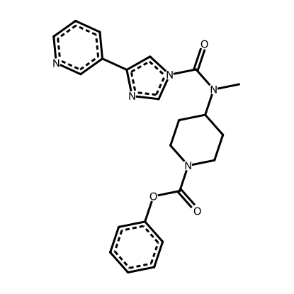 CN(C(=O)n1cnc(-c2cccnc2)c1)C1CCN(C(=O)Oc2ccccc2)CC1